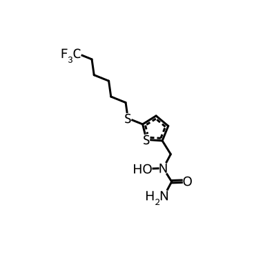 NC(=O)N(O)Cc1ccc(SCCCCCC(F)(F)F)s1